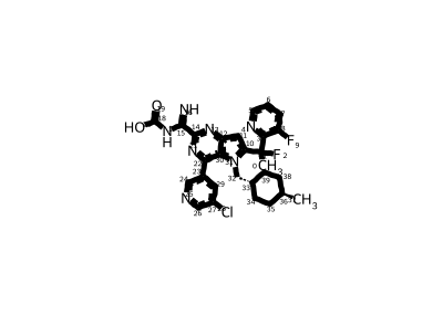 CC(F)(c1ncccc1F)c1cc2nc(C(=N)NC(=O)O)nc(-c3cncc(Cl)c3)c2n1C[C@H]1CC[C@H](C)CC1